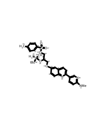 CNc1ccc(-c2ccc3cc(OCC(COS(=O)(=O)c4ccc(C)cc4)O[Si](C)(C)C(C)(C)C)ccc3n2)cn1